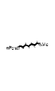 CCCCCCCCCCC[CH]SC